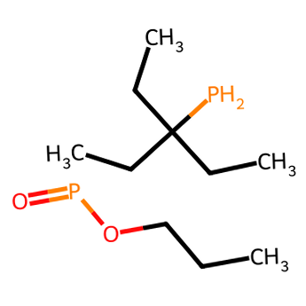 CCC(P)(CC)CC.CCCOP=O